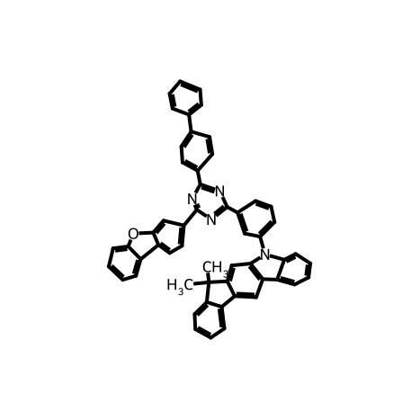 CC1(C)c2ccccc2-c2cc3c4ccccc4n(-c4cccc(-c5nc(-c6ccc(-c7ccccc7)cc6)nc(-c6ccc7c(c6)oc6ccccc67)n5)c4)c3cc21